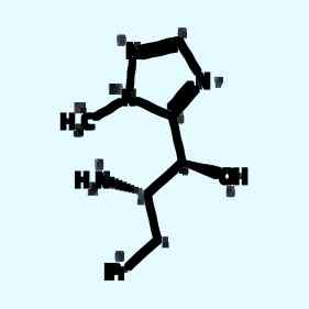 CC(C)C[C@H](N)[C@H](O)c1ncnn1C